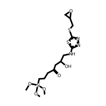 CO[Si](CCCC(=O)CC(O)CNc1nnc(SCC2CO2)s1)(OC)OC